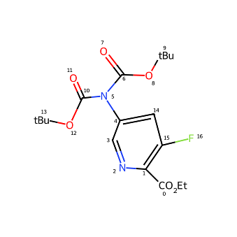 CCOC(=O)c1ncc(N(C(=O)OC(C)(C)C)C(=O)OC(C)(C)C)cc1F